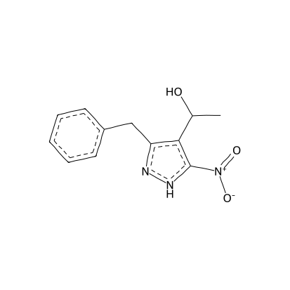 CC(O)c1c(Cc2ccccc2)n[nH]c1[N+](=O)[O-]